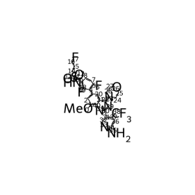 COc1cc(-c2c(F)ccc(NS(=O)(=O)CCCF)c2F)cc2c(N3CCOCC3)nc(-c3cnc(N)cc3C(F)(F)F)nc12